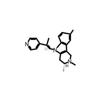 C/C(=C\n1c2c(c3cc(C)ccc31)CN(C)[C@H](C)C2)c1ccncc1